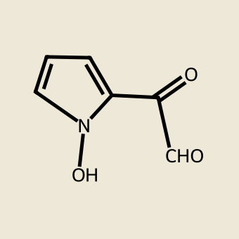 O=CC(=O)c1cccn1O